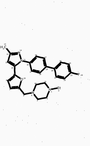 CCN1CCN(Cc2ccc(-c3cc(C)nn3-c3ccc(-c4ccc(F)cc4)cc3)o2)CC1